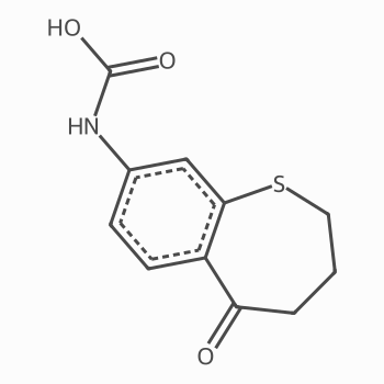 O=C(O)Nc1ccc2c(c1)SCCCC2=O